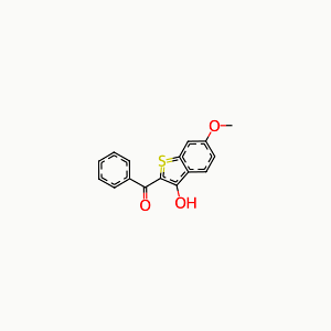 COc1ccc2c(O)c(C(=O)c3ccccc3)sc2c1